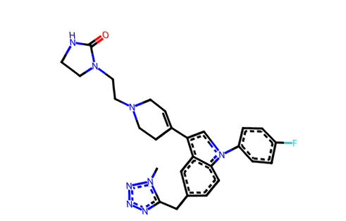 Cn1nnnc1Cc1ccc2c(c1)c(C1=CCN(CCN3CCNC3=O)CC1)cn2-c1ccc(F)cc1